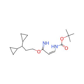 CC(C)(C)OC(=O)N/C=C\C(=N)OCCC(C1CC1)C1CC1